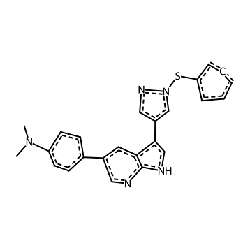 CN(C)c1ccc(-c2cnc3[nH]cc(-c4cnn(Sc5ccccc5)c4)c3c2)cc1